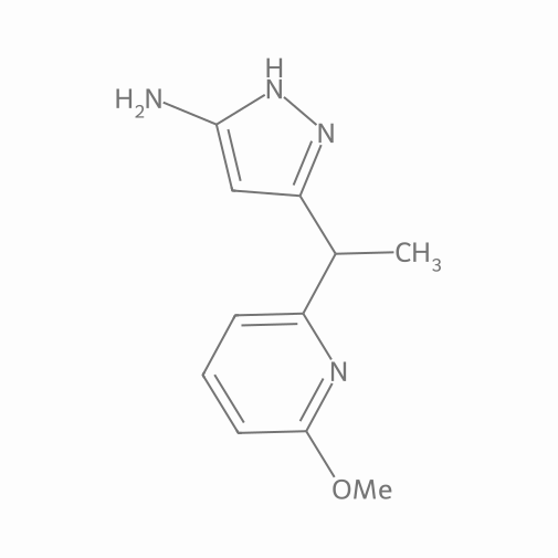 COc1cccc(C(C)c2cc(N)[nH]n2)n1